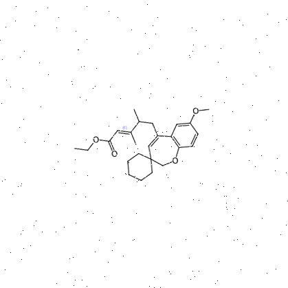 CCOC(=O)/C=C(\C)C(C)CC1=CC2(CCCCC2)COc2ccc(OC)cc21